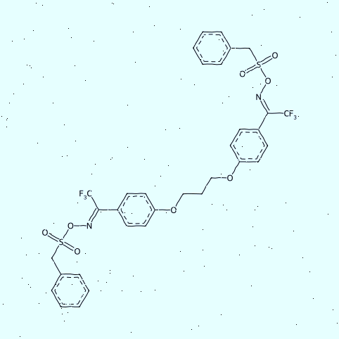 O=S(=O)(Cc1ccccc1)O/N=C(/c1ccc(OCCCOc2ccc(/C(=N/OS(=O)(=O)Cc3ccccc3)C(F)(F)F)cc2)cc1)C(F)(F)F